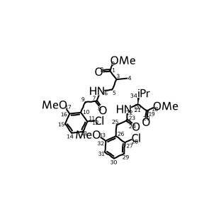 COC(=O)C(C)CNC(=O)Cc1c(Cl)cccc1OC.COC(=O)[C@@H](NC(=O)Cc1c(Cl)cccc1OC)C(C)C